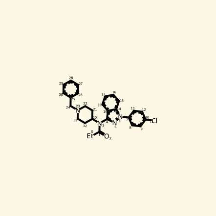 CCC(=O)N(c1nn(-c2ccc(Cl)cc2)c2ccccc12)C1CCN(Cc2ccccc2)CC1